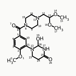 COc1ccc(C(=O)N2CCN(CC(OC)OC)CC2)cc1N1CCC(=O)NC1O